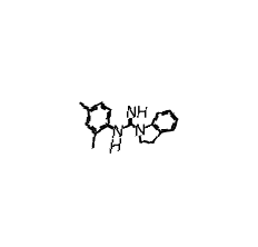 Cc1ccc(NC(=N)N2CCc3ccccc32)c(C)c1